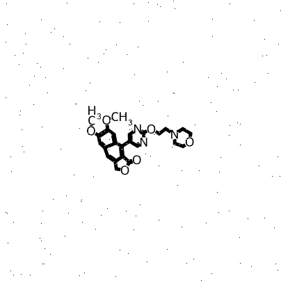 COc1cc2cc3c(c(-c4cnc(OCCN5CCOCC5)nc4)c2cc1OC)C(=O)OC3